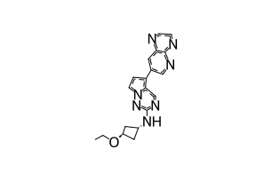 CCO[C@H]1C[C@H](Nc2ncc3c(-c4cnc5nccnc5c4)ccn3n2)C1